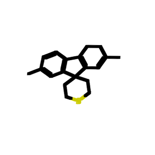 CC1=CC2=C(CC1)c1ccc(C)cc1C21CCSCC1